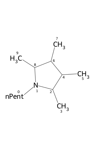 CCCCCN1C(C)C(C)C(C)C1C